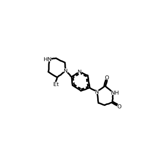 CCC1CNCCN1c1ccc(N2CCC(=O)NC2=O)cn1